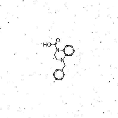 O=C(O)N1CCN(Cc2ccccc2)c2ccccc21